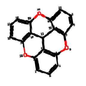 c1cc2c3c(c1)Oc1cccc4c1C3c1c(cccc1O4)O2